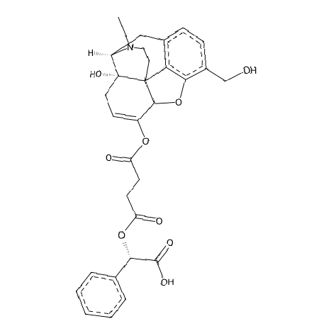 CN1CCC23c4c5ccc(CO)c4OC2C(OC(=O)CCC(=O)O[C@H](C(=O)O)c2ccccc2)=CC[C@@]3(O)[C@H]1C5